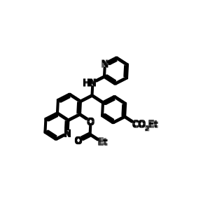 CCOC(=O)c1ccc(C(Nc2ccccn2)c2ccc3cccnc3c2OC(=O)CC)cc1